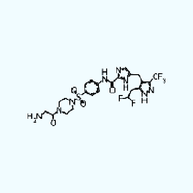 NCC(=O)N1CCN(S(=O)(=O)c2ccc(NC(=O)c3ncc(Cc4c(C(F)(F)F)n[nH]c4CC(F)F)[nH]3)cc2)CC1